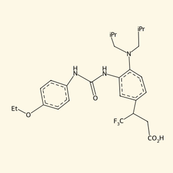 CCOc1ccc(NC(=O)Nc2cc(C(CC(=O)O)C(F)(F)F)ccc2N(CC(C)C)CC(C)C)cc1